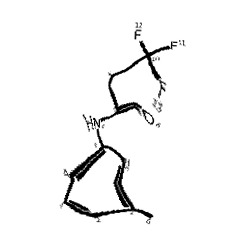 Cc1cccc(NC(=O)CC(F)(F)F)c1